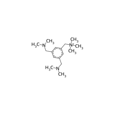 CN(C)Cc1cc(CN(C)C)cc(C[N+](C)(C)C)c1